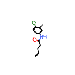 C=CCCC(=O)Nc1ccc(Cl)c(C)c1